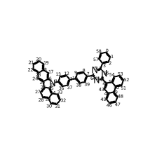 c1ccc(-c2nc(-c3ccc(-c4ccc(-n5c6cc7ccccc7cc6c6ccc7ccccc7c65)cc4)cc3)nc(-c3cc4ccccc4c4ccccc34)n2)cc1